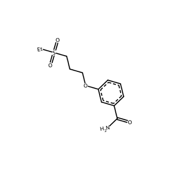 CCS(=O)(=O)CCCOc1cccc(C(N)=O)c1